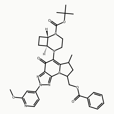 COc1cc(-n2nc3c(=O)c(N4CCN(C(=O)OC(C)(C)C)[C@H]5CC[C@@H]54)c4n(c3n2)C(COC(=O)c2ccccc2)CC4C)ccn1